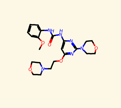 COc1ccccc1NC(=O)Nc1cc(OCCN2CCOCC2)nc(N2CCOCC2)n1